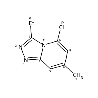 CCc1nnc2cc(C)cc(Cl)n12